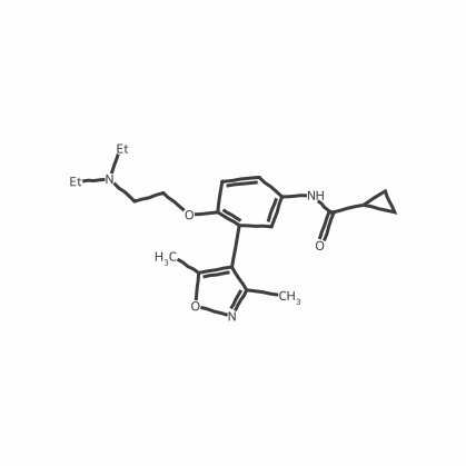 CCN(CC)CCOc1ccc(NC(=O)C2CC2)cc1-c1c(C)noc1C